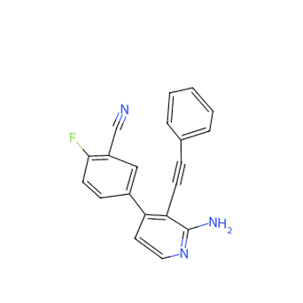 N#Cc1cc(-c2ccnc(N)c2C#Cc2ccccc2)ccc1F